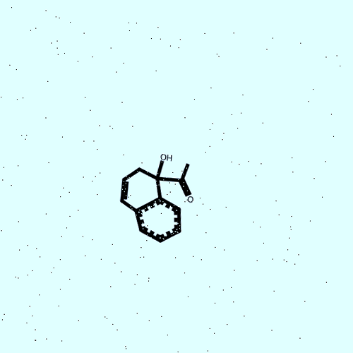 CC(=O)C1(O)CC=Cc2ccccc21